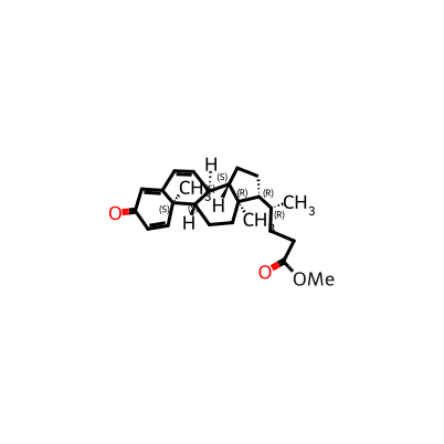 COC(=O)CC[C@@H](C)[C@H]1CC[C@H]2[C@@H]3C=CC4=CC(=O)C=C[C@]4(C)[C@H]3CC[C@]12C